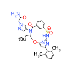 Cc1cccc(C)c1-c1cc2nc(n1)NS(=O)(=O)c1cccc(c1)C(=O)N(c1cnn(CC(N)=O)c1)[C@H](CC(C)(C)C)CO2